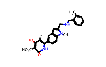 CCc1c(-c2ccc3c(c2)cc(CNCc2ccccc2C)n3C)[nH]c(=O)c(C(=O)O)c1O